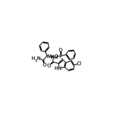 COP(=O)(c1ccccc1)c1c(C(=O)N[C@H](C(N)=O)c2ccccc2)[nH]c2ccc(Cl)cc12